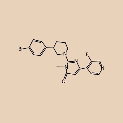 Cn1c(N2CCCC(c3ccc(Br)cc3)C2)nc(-c2ccncc2F)cc1=O